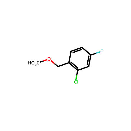 O=C(O)OCc1ccc(F)cc1Cl